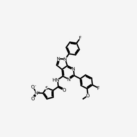 COc1cc(-c2nc(NC(=O)c3ccc([N+](=O)[O-])s3)c3cnn(-c4ccc(F)cc4)c3n2)ccc1F